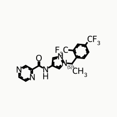 C[C@@H](c1ccc(C(F)(F)F)cc1C(F)(F)F)n1cc(NC(=O)c2cnccn2)cn1